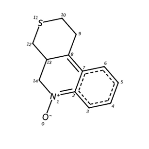 [O-][N+]1=c2ccccc2=C2CCSCC2C1